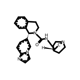 O=C(N[C@@H]1CN2CCC1CC2)N1CCc2ccccc2[C@H]1c1ccc2nccn2c1